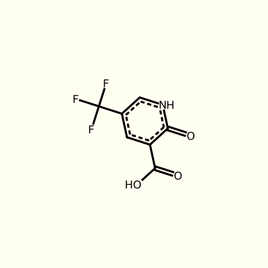 O=C(O)c1cc(C(F)(F)F)c[nH]c1=O